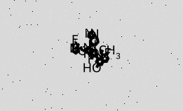 CCc1c(F)ccc2cc(O)cc(-c3ncc4c(N5CCCc6ncncc6C5)nc(OC[C@@]56CCCN5C[C@H](F)C6)nc4c3F)c12